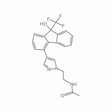 CC(=O)NCCn1cc(-c2cccc3c2-c2ccccc2C3(O)C(F)(F)F)cn1